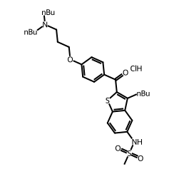 CCCCc1c(C(=O)c2ccc(OCCCN(CCCC)CCCC)cc2)sc2ccc(NS(C)(=O)=O)cc12.Cl